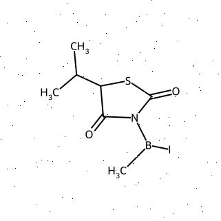 CB(I)N1C(=O)SC(C(C)C)C1=O